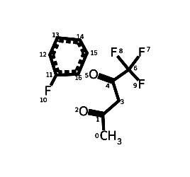 CC(=O)CC(=O)C(F)(F)F.Fc1ccccc1